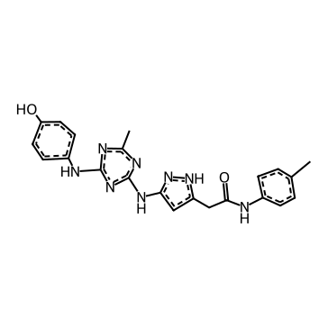 Cc1ccc(NC(=O)Cc2cc(Nc3nc(C)nc(Nc4ccc(O)cc4)n3)n[nH]2)cc1